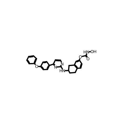 O=C(NO)Oc1ccc2c(c1)CC(Nc1nccc(-c3ccc(Oc4ccccc4)cc3)n1)CC2